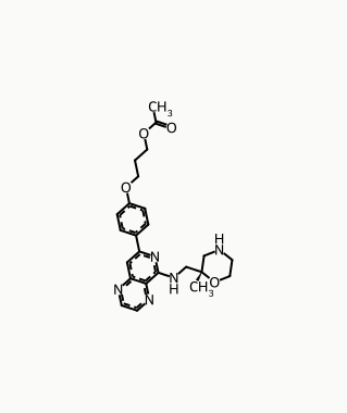 CC(=O)OCCCOc1ccc(-c2cc3nccnc3c(NC[C@]3(C)CNCCO3)n2)cc1